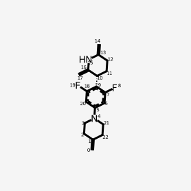 C=C1CCN(c2cc(F)c([C@H]3CCC(=C)NC3=C)c(F)c2)CC1